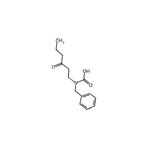 CCCC(=O)CCN(Cc1ccccc1)C(=O)O